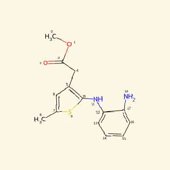 COC(=O)Cc1cc(C)sc1Nc1ccccc1N